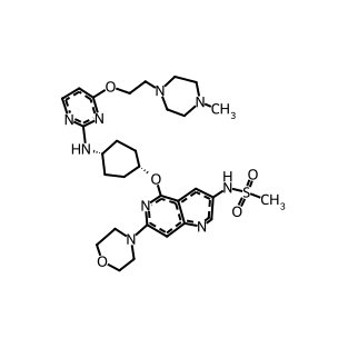 CN1CCN(CCOc2ccnc(N[C@H]3CC[C@@H](Oc4nc(N5CCOCC5)cc5ncc(NS(C)(=O)=O)cc45)CC3)n2)CC1